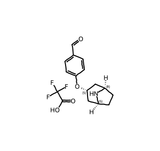 O=C(O)C(F)(F)F.O=Cc1ccc(O[C@@H]2C[C@H]3CC[C@@H](C2)N3)cc1